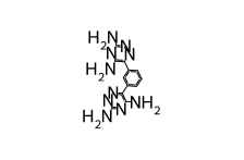 Nc1nnc(-c2cccc(-c3nnc(N)nc3N)c2)c(N)n1